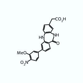 COc1cc(-c2ccc3c(c2)Nc2ccc(CC(=O)O)cc2NC3=O)ccc1[N+](=O)[O-]